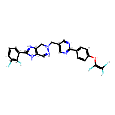 FC(F)=C(F)Oc1ccc(-c2ncc(CN3Cc4nc(-c5cccc(F)c5F)[nH]c4C=N3)cn2)cc1